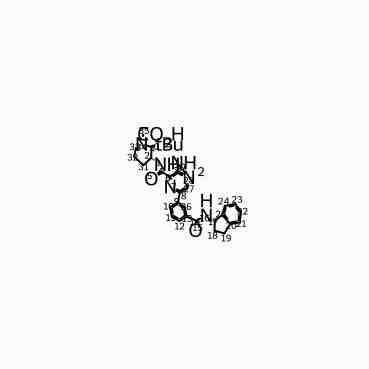 CC(C)(C)C1[C@H](NC(=O)c2nc(-c3cccc(C(=O)N[C@H]4CCc5ccccc54)c3)cnc2N)CCCN1C(=O)O